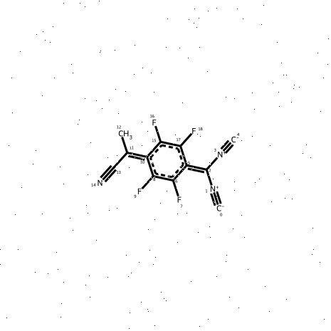 [C-]#[N+]C([N+]#[C-])=c1c(F)c(F)c(=C(C)C#N)c(F)c1F